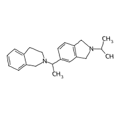 CC(C)N1Cc2ccc(C(C)N3CCc4ccccc4C3)cc2C1